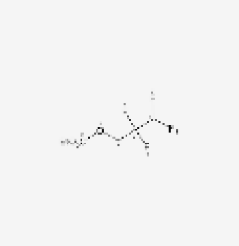 CCOC(=O)OCC(F)(F)C(F)F